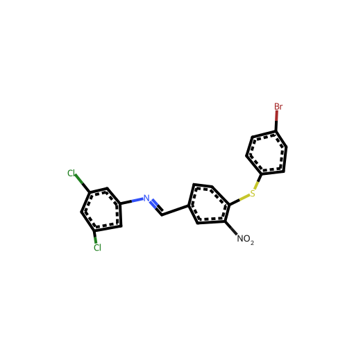 O=[N+]([O-])c1cc(/C=N/c2cc(Cl)cc(Cl)c2)ccc1Sc1ccc(Br)cc1